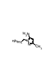 CCCCCCn1nc(C)cc1N